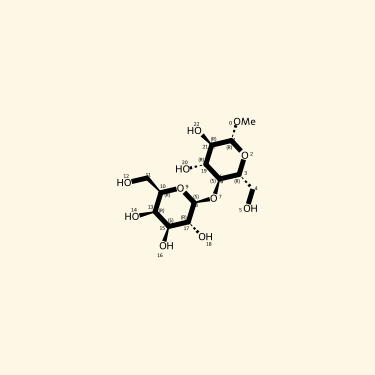 CO[C@@H]1O[C@H](CO)[C@@H](O[C@@H]2O[C@H](CO)[C@H](O)[C@H](O)[C@H]2O)[C@H](O)[C@H]1O